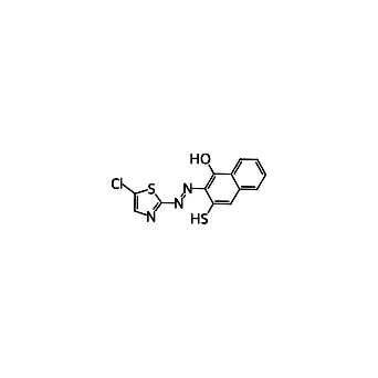 Oc1c(/N=N/c2ncc(Cl)s2)c(S)cc2ccccc12